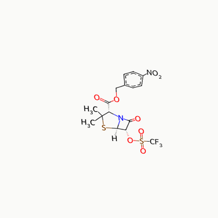 CC1(C)S[C@@H]2[C@@H](OS(=O)(=O)C(F)(F)F)C(=O)N2[C@H]1C(=O)OCc1ccc([N+](=O)[O-])cc1